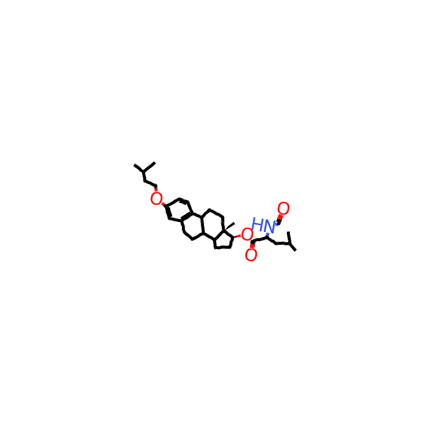 CC(C)CCOc1ccc2c(c1)CCC1C2CC[C@@]2(C)C1CC[C@@H]2OC(=O)C(CC(C)C)NC=O